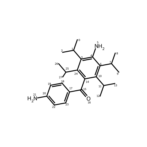 CC(C)c1c(N)c(C(C)C)c(C(C)C)c(C(=O)c2ccc(N)cc2)c1C(C)C